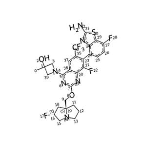 CC1(O)CN(c2nc(OC[C@@]34CCCN3C[C@H](F)C4)nc3c(F)c(-c4ccc(F)c5sc(N)nc45)c(C(F)(F)F)cc23)C1